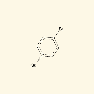 CC[C@@H](C)c1ccc(Br)cc1